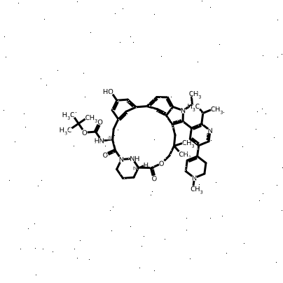 CCn1c(-c2cc(C3=CCN(C)CC3)cnc2C(C)C)c2c3cc(ccc31)-c1cc(O)cc(c1)C[C@H](NC(=O)OC(C)(C)C)C(=O)N1CCC[C@H](N1)C(=O)OCC(C)(C)C2